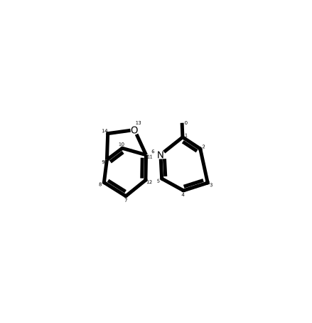 Cc1ccccn1.c1cc2cc(c1)OC2